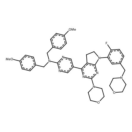 COc1ccc(CN(Cc2ccc(OC)cc2)c2ncc(-c3nc(N4CCOCC4)nc4c3CCN4c3cc(CN4CCOCC4)ccc3F)cn2)cc1